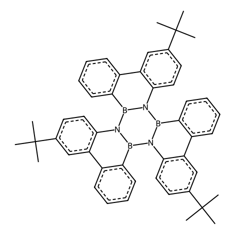 CC(C)(C)c1ccc2c(c1)-c1ccccc1B1N2B2c3ccccc3-c3cc(C(C)(C)C)ccc3N2B2c3ccccc3-c3cc(C(C)(C)C)ccc3N12